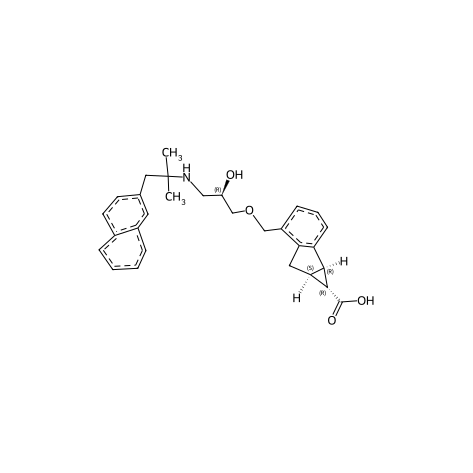 CC(C)(Cc1ccc2ccccc2c1)NC[C@@H](O)COCc1cccc2c1C[C@@H]1[C@@H](C(=O)O)[C@H]21